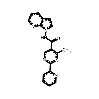 Cc1nc(-c2ccccn2)ncc1C(=O)Nn1ccc2cccnc21